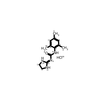 Cc1cc(C)c(NC(=O)N=C2NCCN2)c(C)c1.Cl